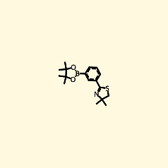 CC1(C)CSC(c2cccc(B3OC(C)(C)C(C)(C)O3)c2)=N1